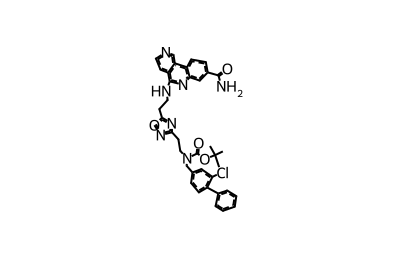 CC(C)(C)OC(=O)N(CCc1noc(CCNc2nc3cc(C(N)=O)ccc3c3cnccc23)n1)Cc1ccc(-c2ccccc2)c(Cl)c1